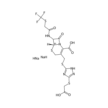 O=C(O)CSc1n[nH]c(SCC2=C(C(=O)O)N3C(=O)C(NC(=O)CSC(F)(F)F)[C@H]3SC2)n1.[NaH].[NaH]